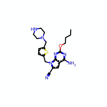 CCCCOc1nc(N)c2cc(C#N)n(Cc3ccc(CN4CCNCC4)s3)c2n1